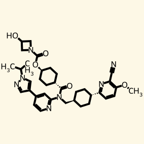 COc1ccc([C@H]2CC[C@H](CN(c3cc(-c4cnn(C(C)C)c4)ccn3)C(=O)[C@H]3CC[C@H](OC(=O)N4CC(O)C4)CC3)CC2)nc1C#N